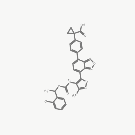 Cc1noc(-c2ccc(-c3ccc(C4(C(=O)O)CC4)cc3)c3nonc23)c1NC(=O)OC(C)c1ccccc1Cl